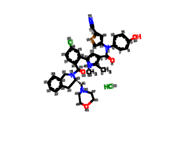 Cc1c(C(=O)N(c2ccc(O)cc2)c2csc(C#N)c2)cc(-c2cc(Cl)ccc2C(=O)N2Cc3ccccc3C[C@H]2CN2CCOCC2)n1C.Cl